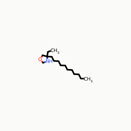 CCCCCCCCCCCC1(CC)COCN1